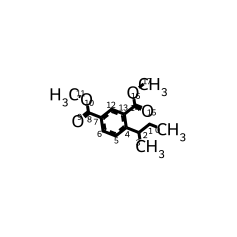 CCC(C)c1ccc(C(=O)OC)cc1C(=O)OC